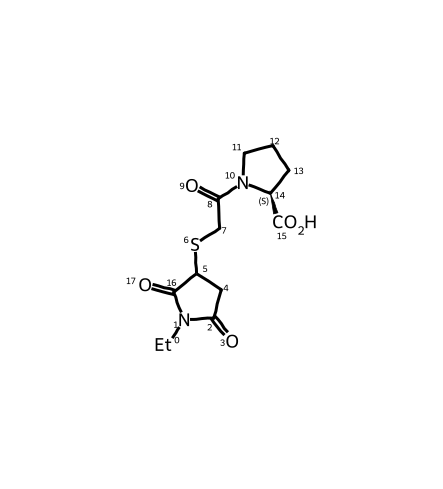 CCN1C(=O)CC(SCC(=O)N2CCC[C@H]2C(=O)O)C1=O